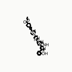 CCOC(=O)C1CCC2(CC1)CC(N1CCN(c3cnc(N4CCN5c6cc(-c7ccccc7O)nnc6NC[C@H]5C4)nc3)C[C@@H]1C)C2